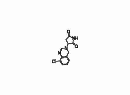 O=C1CC(N2C=Nc3c(Cl)cccc3C2)C(=O)N1